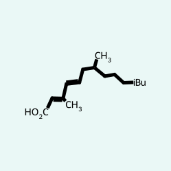 CCC(C)CCCC(C)C/C=C/C(C)=C/C(=O)O